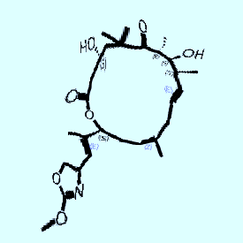 COC1=NC(/C=C(\C)[C@@H]2C/C=C(/C)C/C=C/[C@H](C)[C@H](O)[C@@H](C)C(=O)C(C)(C)[C@@H](O)CC(=O)O2)CO1